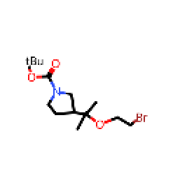 CC(C)(C)OC(=O)N1CCC(C(C)(C)OCCBr)C1